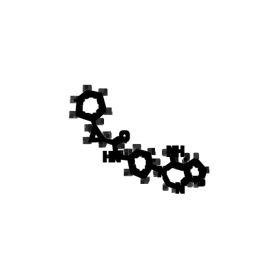 NC1=c2ccsc2=NCN1c1ccc(NC(=O)[C@H]2C[C@@H]2c2ccccc2)cc1